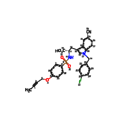 CC#CCOc1ccc(S(=O)(=O)N[C@@H](Cc2cn(Cc3ccc(F)cc3)c3ccc(C#N)cc23)C(=O)O)cc1